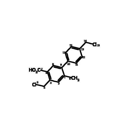 Cc1cc(CCl)c(C(=O)O)cc1-c1ccc(CCl)cc1